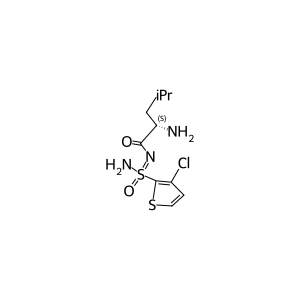 CC(C)C[C@H](N)C(=O)N=S(N)(=O)c1sccc1Cl